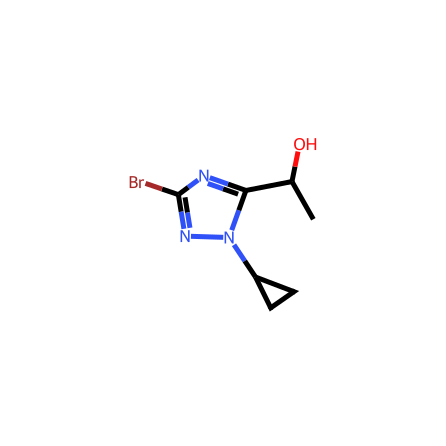 CC(O)c1nc(Br)nn1C1CC1